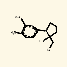 COc1nc(N2CCCC2(O)CO)ccc1N